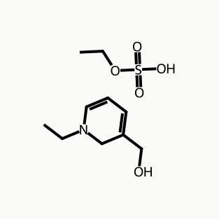 CCN1C=CC=C(CO)C1.CCOS(=O)(=O)O